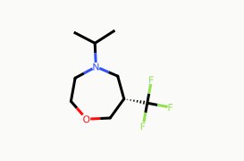 CC(C)N1CCOC[C@@H](C(F)(F)F)C1